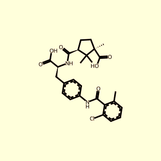 Cc1cccc(Cl)c1C(=O)Nc1ccc(C[C@H](NC(=O)[C@H]2CC[C@@](C)(C(=O)O)C2(C)C)C(=O)O)cc1